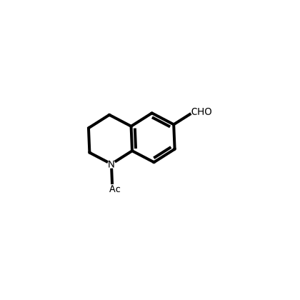 CC(=O)N1CCCc2cc(C=O)ccc21